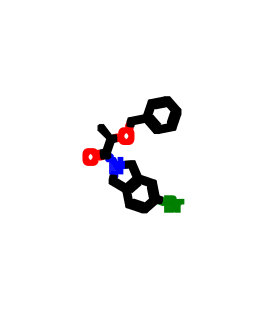 C[C@@H](OCc1ccccc1)C(=O)N1Cc2ccc(Br)cc2C1